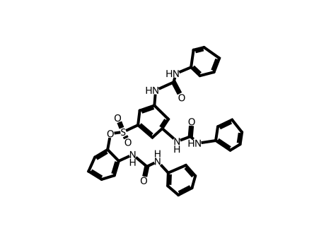 O=C(Nc1ccccc1)Nc1cc(NC(=O)Nc2ccccc2)cc(S(=O)(=O)Oc2ccccc2NC(=O)Nc2ccccc2)c1